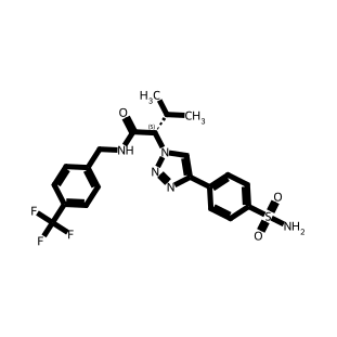 CC(C)[C@@H](C(=O)NCc1ccc(C(F)(F)F)cc1)n1cc(-c2ccc(S(N)(=O)=O)cc2)nn1